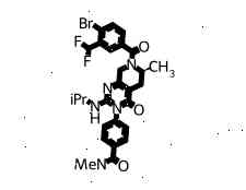 CNC(=O)c1ccc(-n2c(NC(C)C)nc3c(c2=O)C[C@@H](C)N(C(=O)c2ccc(Br)c(C(F)F)c2)C3)cc1